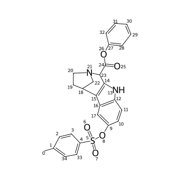 Cc1ccc(S(=O)(=O)Oc2ccc3[nH]c4c(c3c2)C2CCN(C2)C4C(=O)Oc2ccccc2)cc1